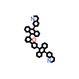 c1cc(-c2c3ccccc3c(-c3ccc4cccnc4c3)c3ccccc23)c2oc3cc(-c4c5ccccc5c(-c5ccc6cccnc6c5)c5ccccc45)ccc3c2c#1